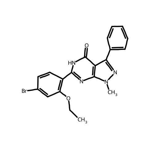 CCOc1cc(Br)ccc1-c1nc2c(c(-c3ccccc3)nn2C)c(=O)[nH]1